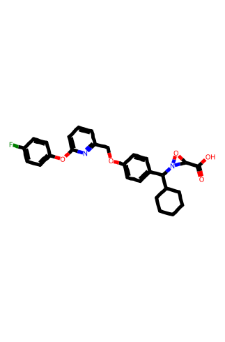 O=C(O)C1ON1C(c1ccc(OCc2cccc(Oc3ccc(F)cc3)n2)cc1)C1CCCCC1